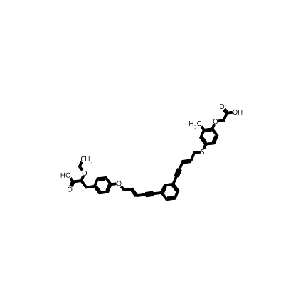 CCOC(Cc1ccc(OCC=CC#Cc2cccc(C#CC=CCSc3ccc(OCC(=O)O)c(C)c3)c2)cc1)C(=O)O